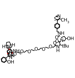 Cc1ncsc1-c1ccc(CNC(=O)[C@@H]2C[C@@H](O)CN2C(=O)C(NC(=O)COCCOCCOCCOCCOCCOc2cc(N3[C@@H]4CC[C@H]3CN(c3cc(-c5ccccc5O)nnc3N)C4)ccn2)C(C)(C)C)cc1